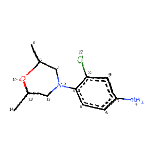 CC1CN(c2ccc(N)cc2Cl)CC(C)O1